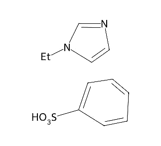 CCn1ccnc1.O=S(=O)(O)c1ccccc1